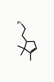 CC1=CCC(CCC(C)C)C1(C)C